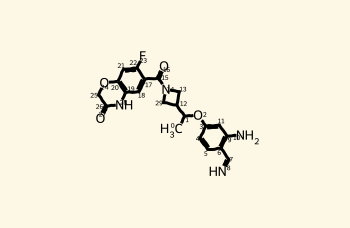 CC(Oc1ccc(C=N)c(N)c1)C1CN(C(=O)c2cc3c(cc2F)OCC(=O)N3)C1